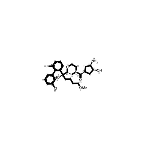 COCCCC[C@](O)(c1cccc(F)c1-c1cccc(Cl)c1)[C@H]1CN(C(=O)[C@H]2C[C@@H](N)[C@@H](O)C2)CCO1